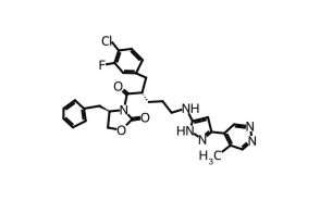 Cc1cnncc1-c1cc(NCCC[C@@H](Cc2ccc(Cl)c(F)c2)C(=O)N2C(=O)OC[C@H]2Cc2ccccc2)[nH]n1